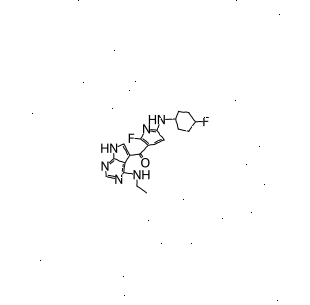 CCNc1ncnc2[nH]cc(C(=O)c3ccc(NC4CCC(F)CC4)nc3F)c12